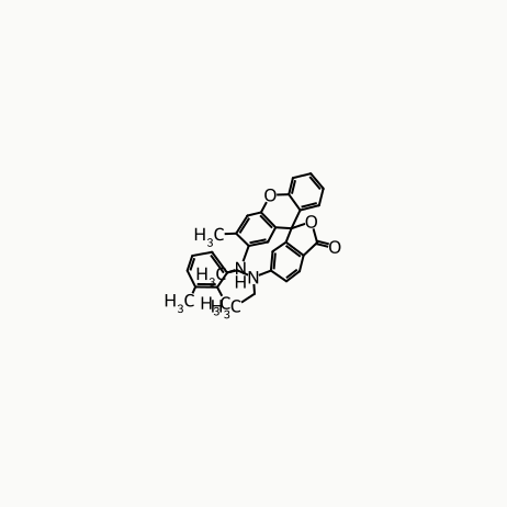 CCN(CC)c1ccc2c(c1)C1(OC2=O)c2ccccc2Oc2cc(C)c(Nc3cccc(C)c3C)cc21